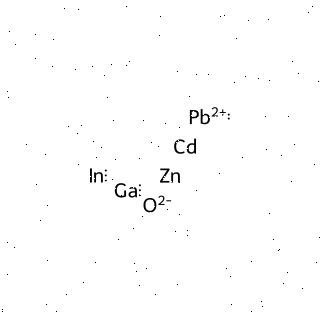 [Cd].[Ga].[In].[O-2].[Pb+2].[Zn]